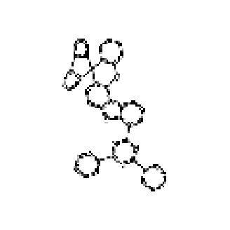 c1ccc(-c2nc(-c3ccccc3)nc(-c3cccc4c3sc3ccc5c(c34)Oc3ccccc3C53c4ccccc4-c4ccccc43)n2)cc1